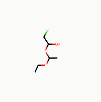 CCOC(C)OC(O)CCl